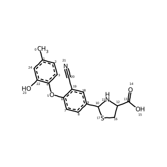 Cc1ccc(Oc2ccc(C3NC(C(=O)O)CS3)cc2C#N)c(O)c1